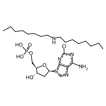 CCCCCCCCNCCCCCCCC.Nc1nc(Cl)nc2c1ncn2[C@H]1C[C@H](O)[C@@H](COP(=O)(O)O)O1